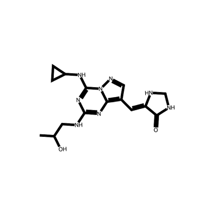 CC(O)CNc1nc(NC2CC2)n2ncc(/C=C3\NCNC3=O)c2n1